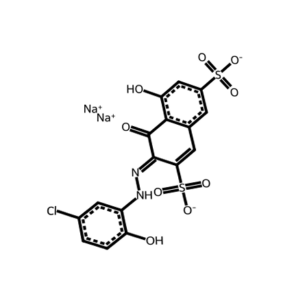 O=C1/C(=N/Nc2cc(Cl)ccc2O)C(S(=O)(=O)[O-])=Cc2cc(S(=O)(=O)[O-])cc(O)c21.[Na+].[Na+]